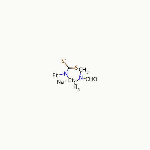 CCN(CC)C(=S)[S-].CN(C)C=O.[Na+]